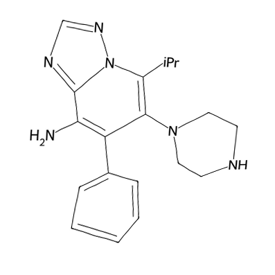 CC(C)c1c(N2CCNCC2)c(-c2ccccc2)c(N)c2ncnn12